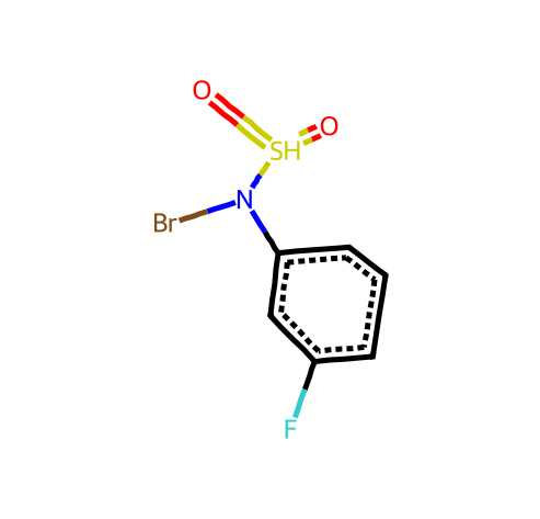 O=[SH](=O)N(Br)c1cccc(F)c1